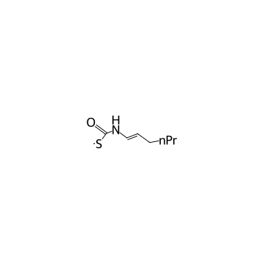 CCCCC=CNC(=O)[S]